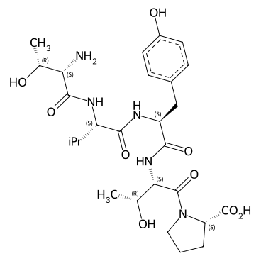 CC(C)[C@H](NC(=O)[C@@H](N)[C@@H](C)O)C(=O)N[C@@H](Cc1ccc(O)cc1)C(=O)N[C@H](C(=O)N1CCC[C@H]1C(=O)O)[C@@H](C)O